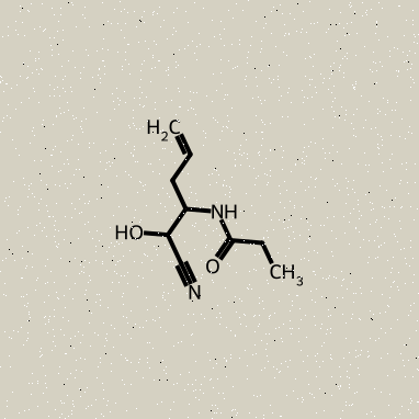 C=CCC(NC(=O)CC)C(O)C#N